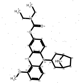 CCN(CC)C(=O)Oc1ccc2c(c1)Sc1c(OC)cccc1N2C1CC2CCC(C1)N2